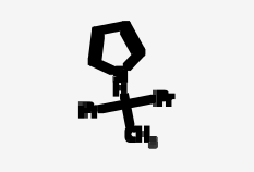 CC(C)C(C)(C(C)C)[SiH]1C=CC=C1